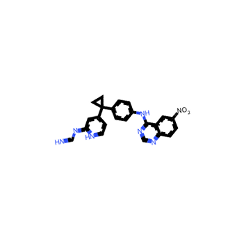 N=C/N=c1/cc(C2(c3ccc(Nc4ncnc5ccc([N+](=O)[O-])cc45)cc3)CC2)cc[nH]1